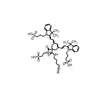 CC1(C)C(/C=C/C2=CC(=C/C=C3/N(CCCS(=O)(=O)O)c4ccccc4C3(C)C)/CC(C(=O)NCCCN=[N+]=[N-])(C(=O)NCCS(=O)(=O)O)C2)=[N+](CCCS(=O)(=O)O)c2ccccc21